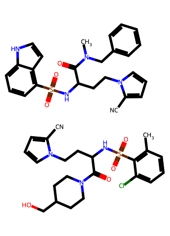 CN(Cc1ccccc1)C(=O)C(CCn1cccc1C#N)NS(=O)(=O)c1cccc2[nH]ccc12.Cc1cccc(Cl)c1S(=O)(=O)NC(CCn1cccc1C#N)C(=O)N1CCC(CO)CC1